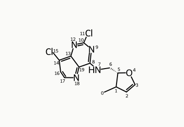 CC1C=CO[C@H]1CNc1nc(Cl)nc2c(Cl)ccnc12